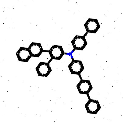 c1ccc(-c2ccc(-c3ccc(N(c4ccc(-c5ccccc5)cc4)c4ccc(-c5ccc6ccccc6c5)c(-c5ccccc5)c4)cc3)cc2)cc1